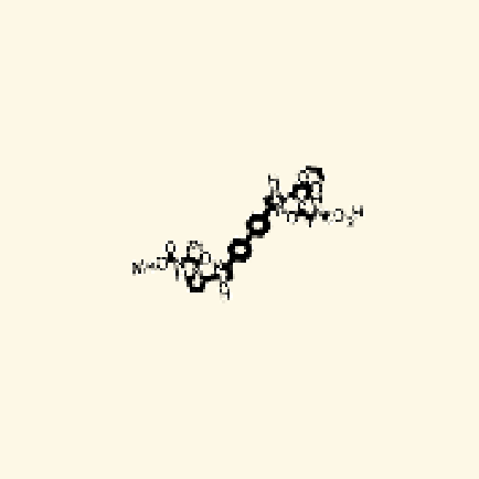 COC(=O)N[C@H](C(=O)N1CCCC1c1nc(-c2ccc(-c3ccc(-c4c[nH]c([C@@H]5CC6(CN5C(=O)[C@H](C)NC(=O)O)OCCCO6)n4)cc3)cc2)c[nH]1)C(C)C